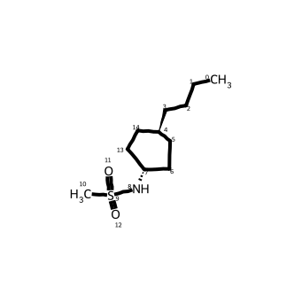 CCCC[C@H]1CC[C@H](NS(C)(=O)=O)CC1